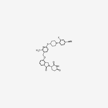 Cc1nc(SC2CCN(c3ccc(C#N)cc3F)CC2)ccc1COc1cccc2c1CN(C1CCC(=O)NC1=O)C2=O